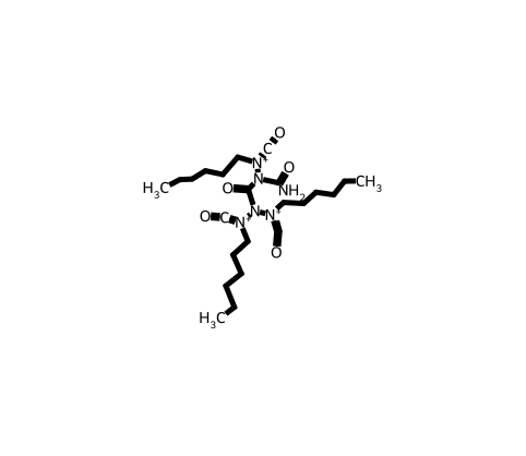 CCCCCC[N+](=C=O)N(C(N)=O)C(=O)N([N+](=C=O)CCCCCC)[N+](=C=O)CCCCCC